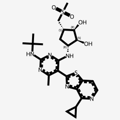 Cc1nc(NC(C)(C)C)nc(N[C@@H]2C[C@H](CS(C)(=O)=O)[C@@H](O)[C@H]2O)c1-c1nc2c(C3CC3)nccc2s1